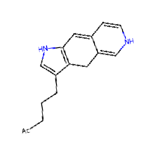 CC(=O)CCCc1c[nH]c2c1CC1=CNC=CC1=C2